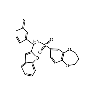 O=S(=O)(NC(C1=CC(=S)CC=C1)c1cc2ccccc2o1)c1ccc2c(c1)OCCCO2